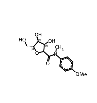 COc1ccc(N(C)C(=O)C2O[C@H](CO)[C@@H](O)[C@H]2O)cc1